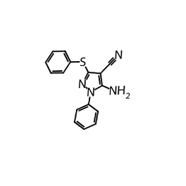 N#Cc1c(Sc2ccccc2)nn(-c2ccccc2)c1N